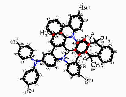 Cc1cc2c3c(c1)N(c1ccc(C(C)(C)C)cc1-c1ccccc1)c1cc4c(cc1B3N(c1ccc(C(C)(C)C)cc1-c1ccccc1)c1ccc(N(c3ccc(C(C)(C)C)cc3)c3ccc(C(C)(C)C)cc3)cc1-2)C(C)(C)c1ccccc1C4(C)C